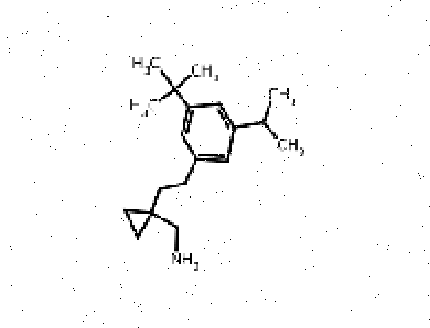 CC(C)c1cc(CCC2(CN)CC2)cc(C(C)(C)C)c1